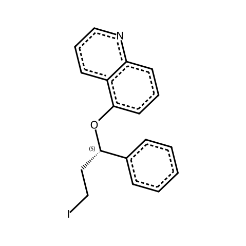 ICC[C@H](Oc1cccc2ncccc12)c1ccccc1